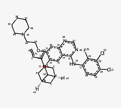 C=CC(=O)N1C[C@H]2C[C@@H](C1)C2Oc1cc2c(Nc3ccc(Cl)c(Cl)c3F)ncnc2cc1OCCN1CCCCC1